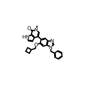 Cn1cc(-c2cc3ncn(Cc4ccccc4)c3cc2OCC2CCC2)c2cc[nH]c2c1=O